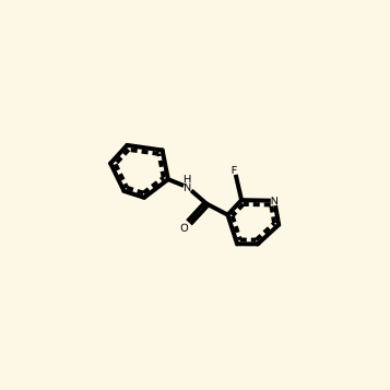 O=C(Nc1ccccc1)c1cccnc1F